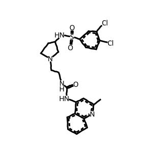 Cc1cc(NC(=O)NCCN2CCC(NS(=O)(=O)c3ccc(Cl)c(Cl)c3)C2)c2ccccc2n1